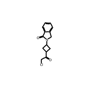 O=C(CCl)C1CC(N2Cc3ccccc3C2=O)C1